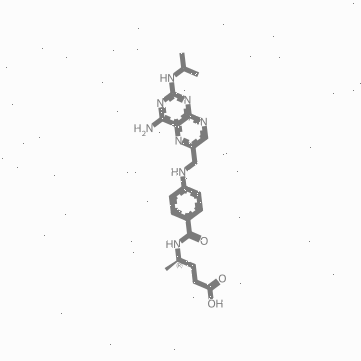 CC(C)Nc1nc(N)c2nc(CNc3ccc(C(=O)N[C@H](C)CCC(=O)O)cc3)cnc2n1